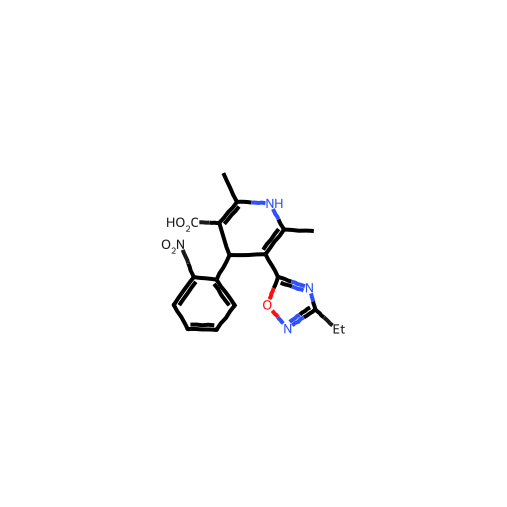 CCc1noc(C2=C(C)NC(C)=C(C(=O)O)C2c2ccccc2[N+](=O)[O-])n1